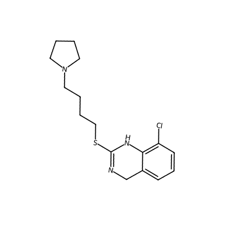 Clc1cccc2c1NC(SCCCCN1CCCC1)=NC2